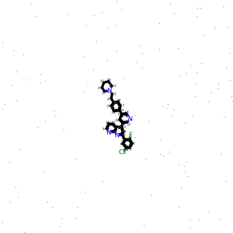 Fc1ccc(Cl)cc1-c1cc(-c2cncc(-c3ccc(CCN4CCCCC4)cc3)c2)c2cccnc2n1